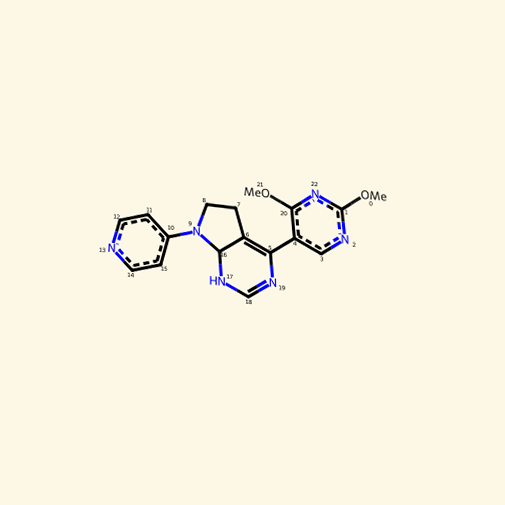 COc1ncc(C2=C3CCN(c4ccncc4)C3NC=N2)c(OC)n1